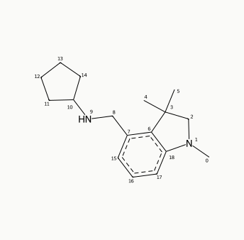 CN1CC(C)(C)c2c(CNC3CCCC3)cccc21